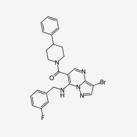 O=C(c1cnc2c(Br)cnn2c1NCc1cccc(F)c1)N1CCC(c2ccccc2)CC1